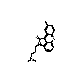 Cc1ccc2nc3cccc4c3c(c2c1)C(=O)N4CCCN(C)C